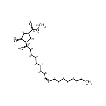 CCCCCCCC/C=C\CCCCCCCC(=O)N1CC(C(=O)OC)CC1=O